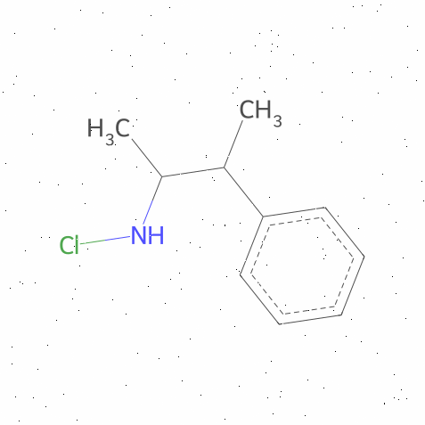 CC(NCl)C(C)c1ccccc1